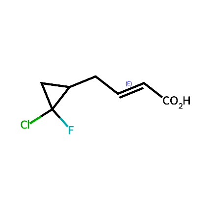 O=C(O)/C=C/CC1CC1(F)Cl